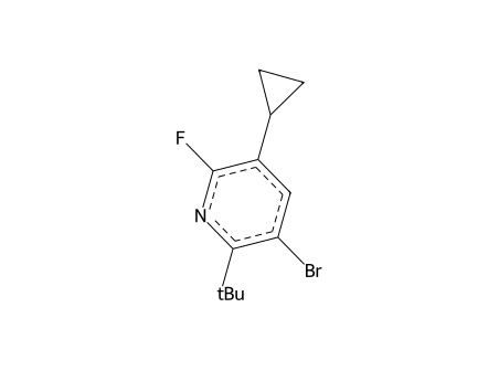 CC(C)(C)c1nc(F)c(C2CC2)cc1Br